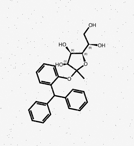 CC1(Oc2ccccc2C(c2ccccc2)c2ccccc2)O[C@H]([C@H](O)CO)[C@H](O)[C@@H]1O